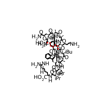 CC[C@H](C)[C@H](NC(=O)[C@H](Cc1ccccc1)NC(=O)[C@H](CCC(=O)O)NC(=O)[C@H](CCCCN)NC(=O)[C@H](C)NC(=O)[C@H](C)NC(=O)[C@H](CCC(N)=O)NC(=O)CN)C(=O)N[C@@H](C)C(=O)N[C@@H](Cc1c[nH]c2ccccc12)C(=O)N[C@@H](CC(C)C)C(=O)N[C@H](C(=O)N[C@@H](CCCNC(=N)N)C(=O)O)C(C)C